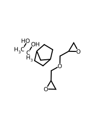 C(OCC1CO1)C1CO1.C1CC2CCC1C2.CO.CO